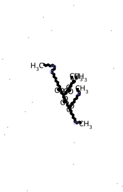 CC/C=C\CCCCCOC(CCC(=O)OCC(COC(=O)CCCCCCC/C=C\C/C=C\CCCCC)COC(=O)OCCCN(CC)CC)OCCCCC/C=C\CC